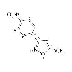 O=[N+]([O-])c1ccc(-c2cc(C(F)(F)F)on2)cc1